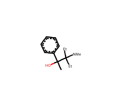 CCC(CC)(NC)C(C)(O)c1ccccc1